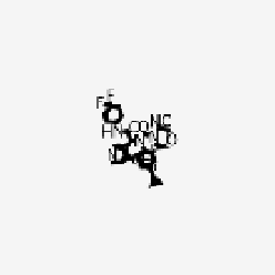 N#C[C@H]1COCCN1C(=O)N(c1ccc(C2CC2)cc1F)C(C(=O)NC1CCC(F)(F)CC1)c1cnccc1C(F)(F)F